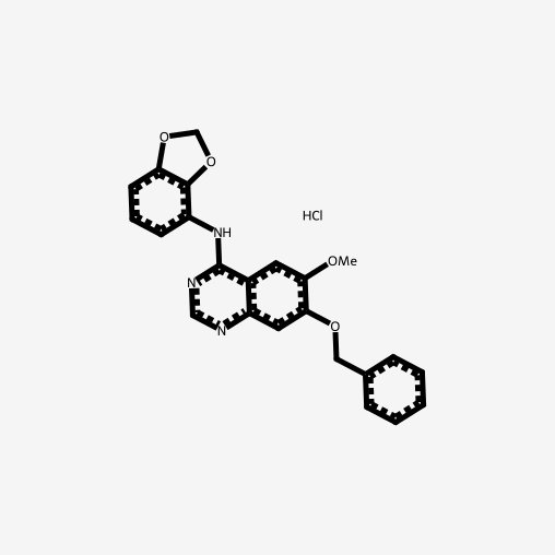 COc1cc2c(Nc3cccc4c3OCO4)ncnc2cc1OCc1ccccc1.Cl